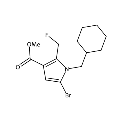 COC(=O)c1cc(Br)n(CC2CCCCC2)c1CF